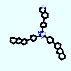 C1=CC2=Cc3cc(-c4ccc(-c5nc(-c6ccc(-c7ccc8cnccc8c7)cc6)nc(-c6ccc(-c7ccc8cc9ccccc9cc8c7)cc6)n5)cc4)ccc3CC2C=C1